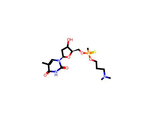 Cc1cn([C@H]2CC(O)[C@@H](COP(C)(=S)OCCCN(C)C)O2)c(=O)[nH]c1=O